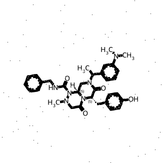 CC(c1cccc(N(C)C)c1)N1C[C@H]2N(C(=O)CN(C)N2C(=O)NCc2ccccc2)[C@@H](Cc2ccc(O)cc2)C1=O